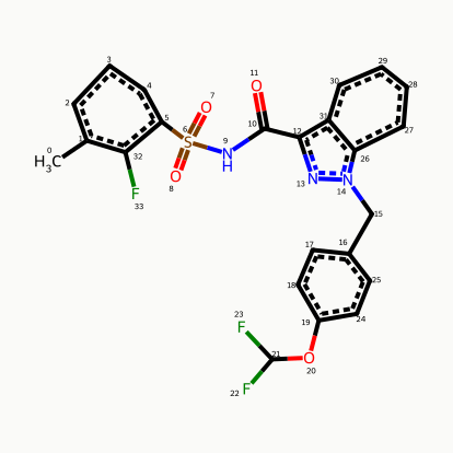 Cc1cccc(S(=O)(=O)NC(=O)c2nn(Cc3ccc(OC(F)F)cc3)c3ccccc23)c1F